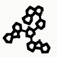 c1cc(-c2nc(-c3cccc4c3oc3ccccc34)nc(-c3cccc4c3sc3ccccc34)n2)cc(-c2cccc3ccc4ccccc4c23)c1